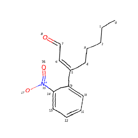 CCCCCC(=CC=O)c1ccccc1[N+](=O)[O-]